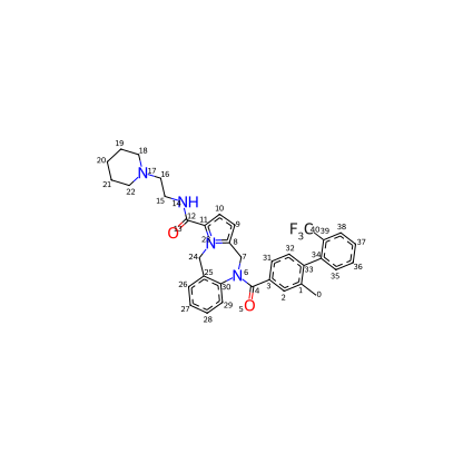 Cc1cc(C(=O)N2Cc3ccc(C(=O)NCCN4CCCCC4)n3Cc3ccccc32)ccc1-c1ccccc1C(F)(F)F